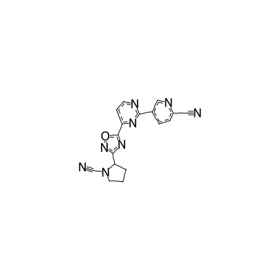 N#Cc1ccc(-c2nccc(-c3nc(C4CCCN4C#N)no3)n2)cn1